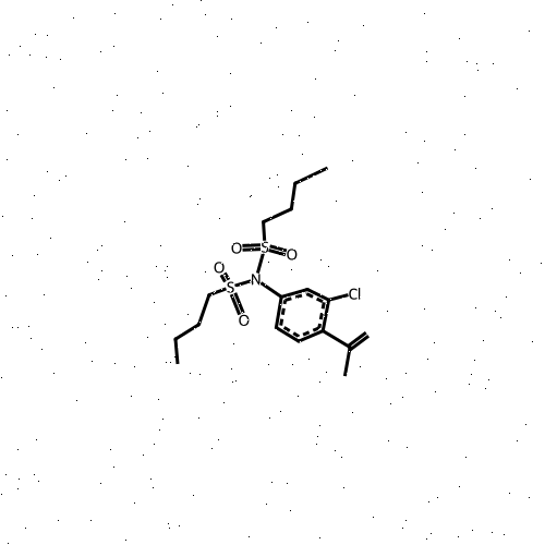 C=C(C)c1ccc(N(S(=O)(=O)CCCC)S(=O)(=O)CCCC)cc1Cl